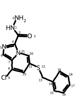 NNC(=O)c1ncc2c(Cl)cc(SCc3ccccc3)cn12